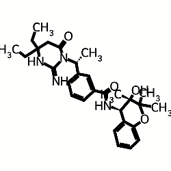 CCC1(CC)CC(=O)N([C@H](C)c2cccc(C(=O)N[C@@H]3c4ccccc4OC(C)(C)[C@@]3(C)O)c2)C(=N)N1